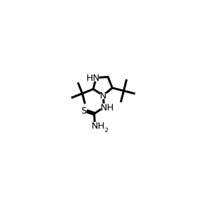 CC(C)(C)C1CNC(C(C)(C)C)N1NC(N)=S